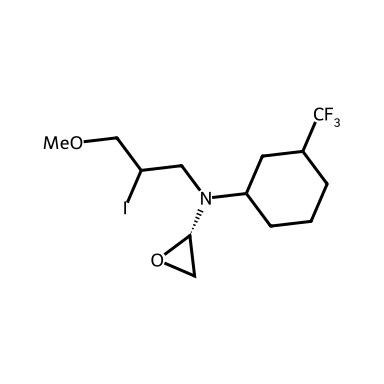 COCC(I)CN(C1CCCC(C(F)(F)F)C1)[C@@H]1CO1